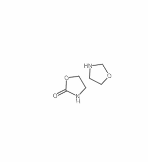 C1COCN1.O=C1NCCO1